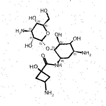 NC1CC(O)(C(=O)N[C@@H]2C[C@H](N)C(O)[C@H](O)[C@H]2O[C@H]2O[C@H](CO)[C@@H](O)[C@H](N)[C@H]2O)C1